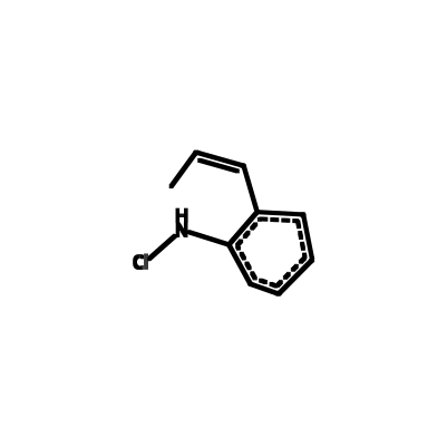 C/C=C\c1ccccc1NCl